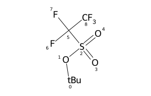 CC(C)(C)OS(=O)(=O)C(F)(F)C(F)(F)F